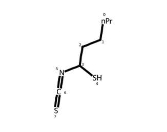 CCCCCC(S)N=C=S